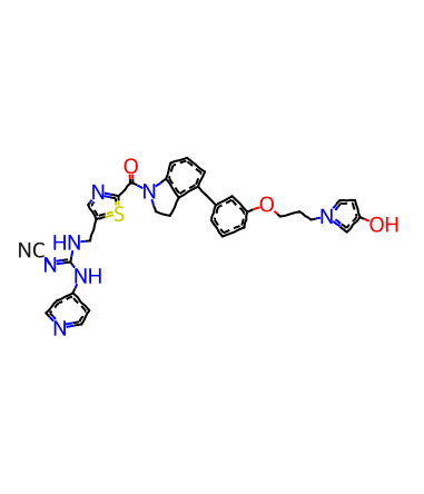 N#C/N=C(\NCc1cnc(C(=O)N2CCc3c(-c4cccc(OCCCn5ccc(O)c5)c4)cccc32)s1)Nc1ccncc1